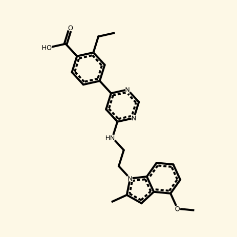 CCc1cc(-c2cc(NCCn3c(C)cc4c(OC)cccc43)ncn2)ccc1C(=O)O